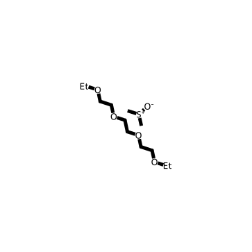 CCOCCOCCOCCOCC.C[S+](C)[O-]